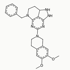 COc1cc2c(cc1OC)CN(c1nc3c4c(n1)N(Cc1ccccc1)CCC4NN3)CC2